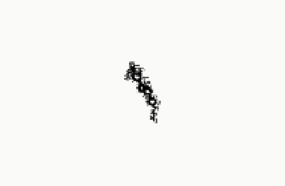 CCCCCc1ccc(-c2ccc3c(F)c(-c4cc(F)c(C(F)(F)F)c(F)c4)ccc3c2)cc1